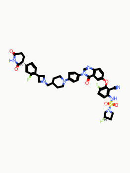 N#Cc1c(NS(=O)(=O)N2CC[C@@H](F)C2)ccc(F)c1Oc1ccc2ncn(-c3ccc(N4CCC(CN5CC(c6ccc([C@H]7CCC(=O)NC7=O)cc6F)C5)CC4)cc3)c(=O)c2c1